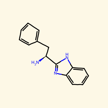 N[C@@H](Cc1ccccc1)c1nc2ccccc2[nH]1